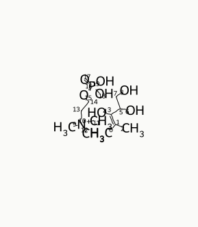 CC(C)=C(O)C(O)CO.C[N+](C)(C)CCOP(=O)(O)O